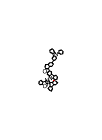 c1ccc(-c2ccccc2-c2nc3oc4ccccc4c3nc2-n2c3ccccc3c3cc4c(cc32)oc2ccc3cc(-c5ccc6c(c5)c5ccccc5n6-c5ccccc5)ccc3c24)cc1